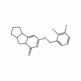 O=c1nc(OCc2cccc(F)c2F)cc2n1CC1CCCN21